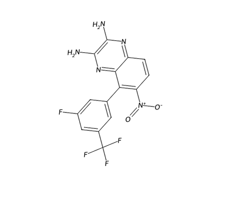 Nc1nc2ccc([N+](=O)[O-])c(-c3cc(F)cc(C(F)(F)F)c3)c2nc1N